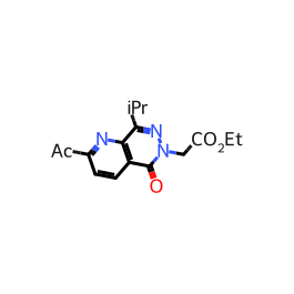 CCOC(=O)Cn1nc(C(C)C)c2nc(C(C)=O)ccc2c1=O